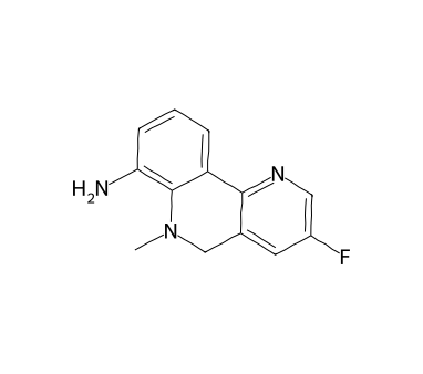 CN1Cc2cc(F)cnc2-c2cccc(N)c21